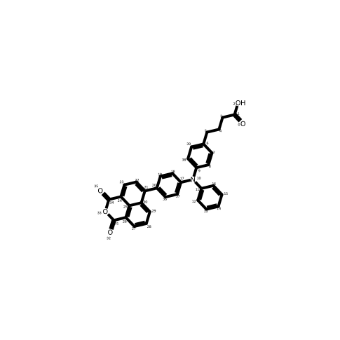 O=C(O)CCCc1ccc(N(c2ccccc2)c2ccc(-c3ccc4c5c(cccc35)C(=O)OC4=O)cc2)cc1